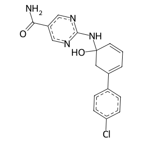 NC(=O)c1cnc(NC2(O)C=CC=C(c3ccc(Cl)cc3)C2)nc1